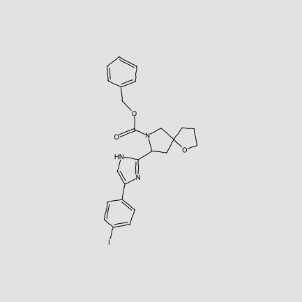 O=C(OCc1ccccc1)N1CC2(CCCO2)CC1c1nc(-c2ccc(I)cc2)c[nH]1